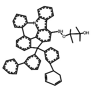 CC(C)(O)C(C)(C)OBc1cc2c3c4c1c1ccccc1n4-c1ccccc1-c1cccc(c1-3)C2(c1cccc(-c2ccccc2)c1)c1cccc(C2C=CC=CC2)c1